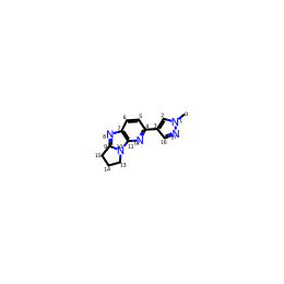 Cn1cc(-c2ccc3nc4n(c3n2)CCC4)cn1